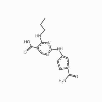 CCCNc1nc(Nc2ccc(C(N)=O)cc2)ncc1C(=O)O